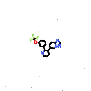 FC(F)(F)Oc1cccc(-c2ncccc2-c2ccc3ncnn3c2)c1